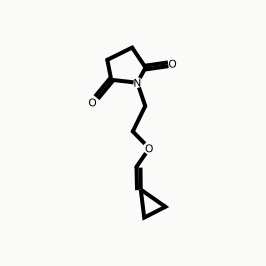 O=C1CCC(=O)N1CCOC=C1CC1